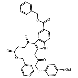 CCCCCCCCc1ccc(OCC(=O)Cc2[nH]c3ccc(C(=O)OCc4ccccc4)cc3c2C(=O)CCC(=O)OCc2ccccc2)cc1